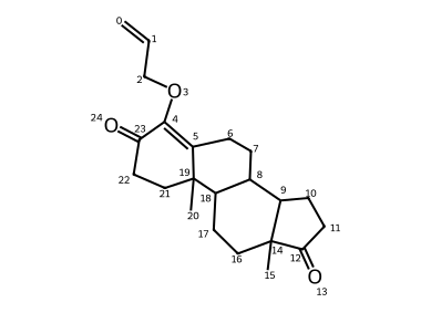 C=CCOC1=C2CCC3C4CCC(=O)C4(C)CCC3C2(C)CCC1=O